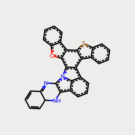 C1=CC2=Nc3c(c4cccc5c6c7c8ccccc8sc7c7c8ccccc8oc7c6n3c45)NC2C=C1